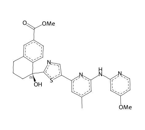 COC(=O)c1ccc2c(c1)CCC[C@@]2(O)c1ncc(-c2cc(C)cc(Nc3cc(OC)ccn3)n2)s1